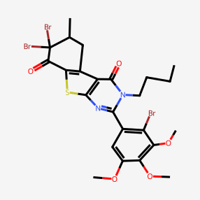 CCCCn1c(-c2cc(OC)c(OC)c(OC)c2Br)nc2sc3c(c2c1=O)CC(C)C(Br)(Br)C3=O